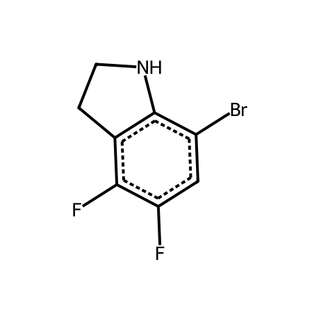 Fc1cc(Br)c2c(c1F)CCN2